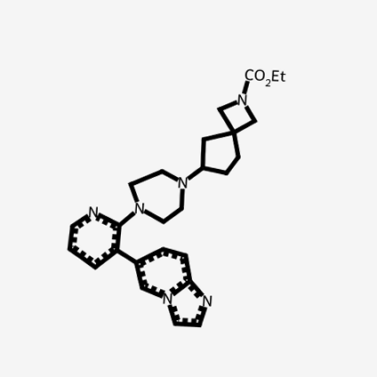 CCOC(=O)N1CC2(CCC(N3CCN(c4ncccc4-c4ccc5nccn5c4)CC3)C2)C1